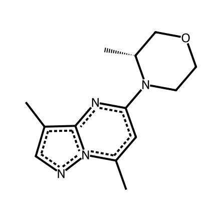 Cc1cnn2c(C)cc(N3CCOC[C@H]3C)nc12